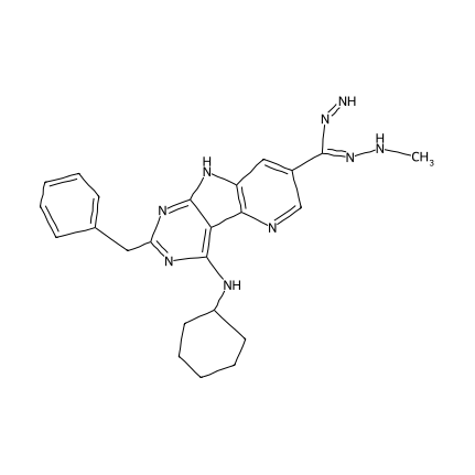 CN/N=C(\N=N)c1cnc2c(c1)[nH]c1nc(Cc3ccccc3)nc(NC3CCCCC3)c12